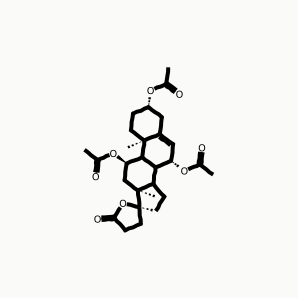 CC(=O)O[C@H]1CC[C@@]2(C)C(=C[C@H](OC(C)=O)C3C2[C@H](OC(C)=O)C[C@@]2(C)C3CC[C@@]23CCC(=O)O3)C1